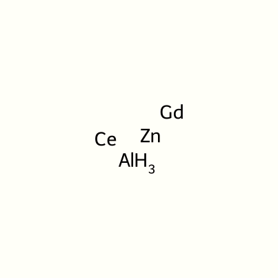 [AlH3].[Ce].[Gd].[Zn]